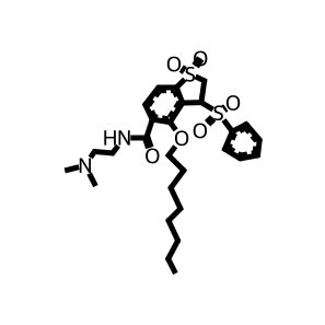 CCCCCCCCOc1c(C(=O)NCCN(C)C)ccc2c1C(S(=O)(=O)c1ccccc1)CS2(=O)=O